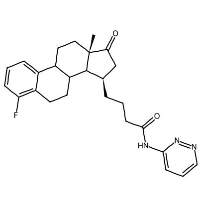 C[C@]12CCC3c4cccc(F)c4CCC3C1[C@H](CCCC(=O)Nc1cccnn1)CC2=O